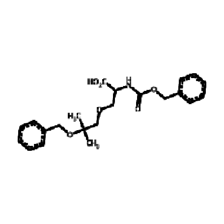 CC(C)(COCC(NC(=O)OCc1ccccc1)C(=O)O)OCc1ccccc1